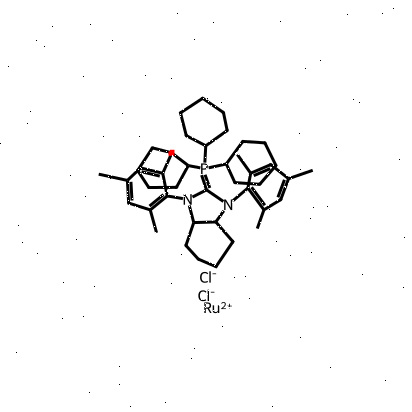 Cc1cc(C)c(N2C(=P(C3CCCCC3)(C3CCCCC3)C3CCCCC3)N(c3c(C)cc(C)cc3C)C3CCCCC32)c(C)c1.[Cl-].[Cl-].[Ru+2]